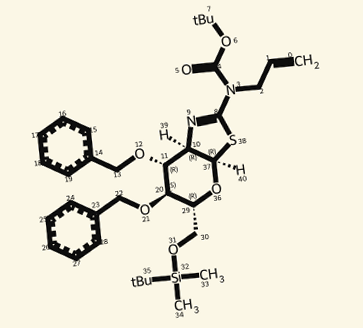 C=CCN(C(=O)OC(C)(C)C)C1=N[C@@H]2[C@@H](OCc3ccccc3)[C@H](OCc3ccccc3)[C@@H](CO[Si](C)(C)C(C)(C)C)O[C@@H]2S1